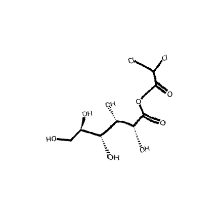 O=C(OC(=O)[C@H](O)[C@@H](O)[C@H](O)[C@H](O)CO)C(Cl)Cl